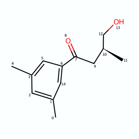 Cc1cc(C)cc(C(=O)C[C@H](C)CO)c1